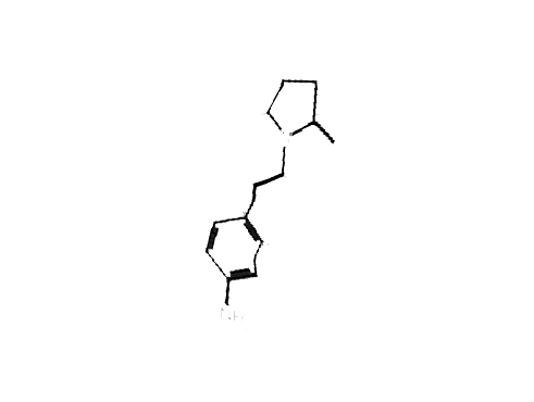 CC1CCCN1CCc1ccc(N)cc1